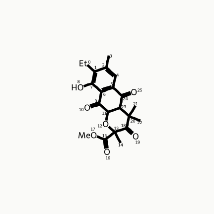 CCc1c(C)cc2c(c1O)C(=O)C1OC(C)(C(=O)OC)C(=O)C(C)(C)C1C2=O